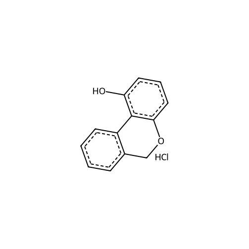 Cl.Oc1cccc2c1-c1ccccc1CO2